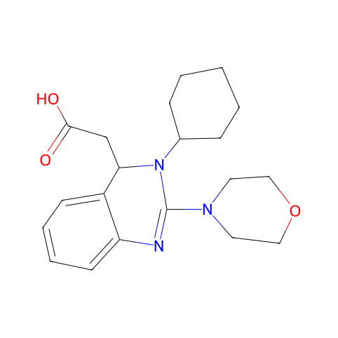 O=C(O)CC1c2ccccc2N=C(N2CCOCC2)N1C1CCCCC1